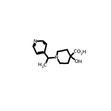 CC(c1ccncc1)N1CCC(O)(C(=O)O)CC1